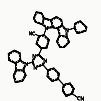 N#Cc1ccc(-c2ccc(-c3nc(-c4ccc(-n5c6ccccc6c6ccc7c(c8ccccc8n7-c7ccccc7)c65)c(C#N)c4)nc(-n4c5ccccc5c5ccccc54)n3)cc2)cc1